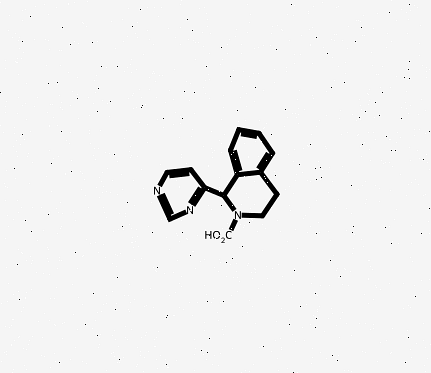 O=C(O)N1CCc2ccccc2C1c1ccncn1